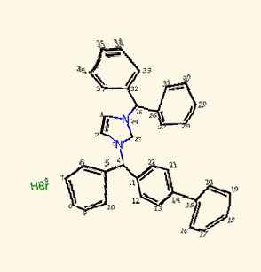 Br.C1=CN(C(c2ccccc2)c2ccc(-c3ccccc3)cc2)CN1C(c1ccccc1)c1ccccc1